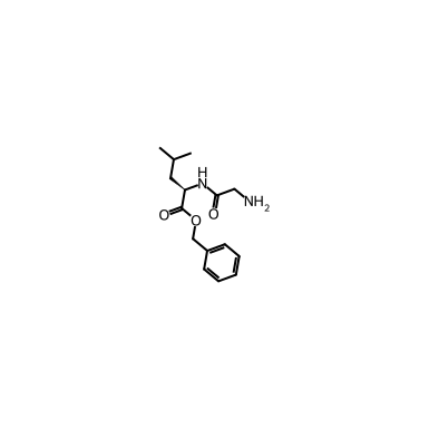 CC(C)C[C@@H](NC(=O)CN)C(=O)OCc1ccccc1